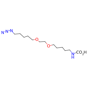 [N-]=[N+]=NCCCCCOCCOCCCCCNC(=O)O